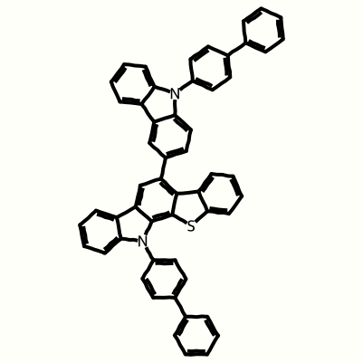 c1ccc(-c2ccc(-n3c4ccccc4c4cc(-c5cc6c7ccccc7n(-c7ccc(-c8ccccc8)cc7)c6c6sc7ccccc7c56)ccc43)cc2)cc1